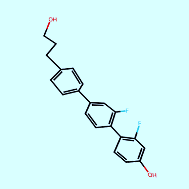 OCCCc1ccc(-c2ccc(-c3ccc(O)cc3F)c(F)c2)cc1